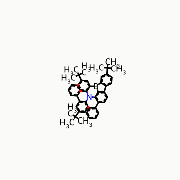 CC(C)(C)c1ccc2c(c1)B1c3cc(C(C)(C)C)ccc3N(c3ccc(C(C)(C)C)cc3-c3ccccc3)c3c(-c4ccccc4)ccc-2c31